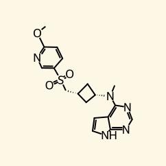 COc1ccc(S(=O)(=O)C[C@H]2C[C@@H](N(C)c3ncnc4[nH]ccc34)C2)cn1